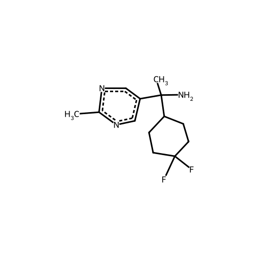 Cc1ncc(C(C)(N)C2CCC(F)(F)CC2)cn1